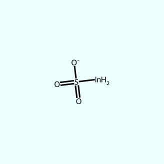 O=[S](=O)([O-])[InH2]